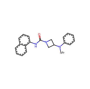 CCCN(c1ccccc1)C1CN(C(=O)Nc2cccc3ccccc23)C1